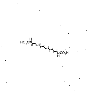 O=C(O)NC=CCCCCCCCCC=CNC(=O)O